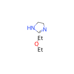 C1=NCCN1.CCOCC